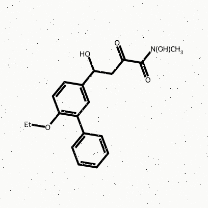 CCOc1ccc(C(O)CC(=O)C(=O)N(C)O)cc1-c1ccccc1